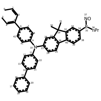 C/C=C\C(=C/C)c1ccc(N(c2ccc(-c3ccccc3)cc2)c2ccc3c(c2)C(C)(C)c2cc(B(CCC)N=O)ccc2-3)cc1